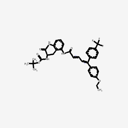 CCOc1ccc(/C(=C/C=C/C(=O)Nc2cccc3c2CC(NC(=O)OC(C)(C)C)C(=O)N3)c2ccc(C(F)(F)F)cc2)cc1